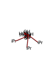 CC(C)CCCCCCCCCCCCCCC(=O)OC[C@H]1O[C@H](O[C@H]2O[C@H](CO)[C@@H](O)[C@H](O)[C@H]2O)[C@H](O)[C@@H](OC(=O)CCCCCCCCCCCCCCC(C)C)[C@@H]1OC(=O)CCCCCCCCCCCCCCC(C)C